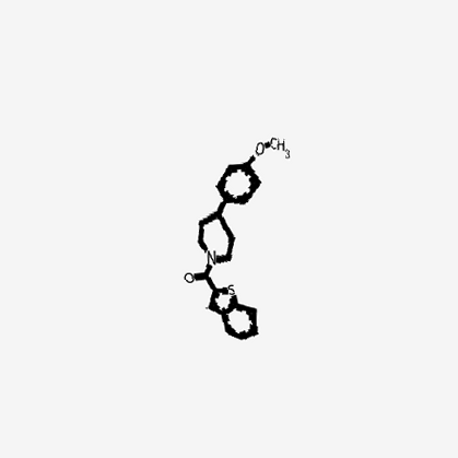 COc1ccc(C2CCN(C(=O)c3[c]c4ccccc4s3)CC2)cc1